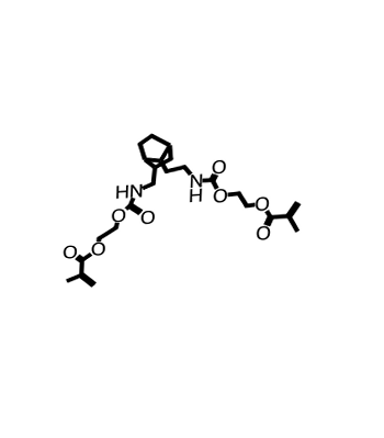 C=C(C)C(=O)OCCOC(=O)NCCC1C2CCC1C(CNC(=O)OCCOC(=O)C(=C)C)C2